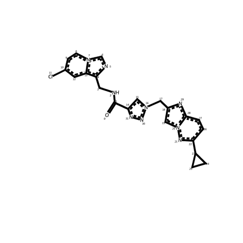 O=C(NCc1ncn2ccc(Cl)cc12)c1cn(Cc2cn3nc(C4CC4)ccc3n2)nn1